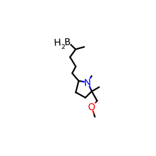 BC(C)CCCC1CCC(C)(COC)N1C